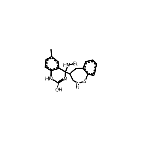 [CH2]CNC1(C2CNSc3ccccc3C2)N=C(O)Nc2ccc(C)cc21